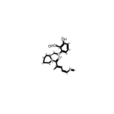 C=N/C=C\C=C(/C)C(=O)N1CCCC[C@H]1COc1cccc(O)c1C=O